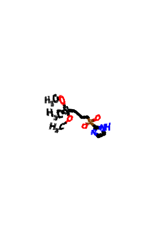 CO[Si](C)(CCCS(=O)(=O)c1ncc[nH]1)OC